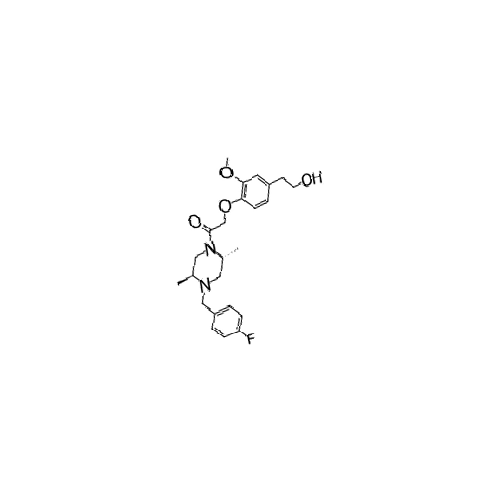 COc1cc(CCO)ccc1OCC(=O)N1C[C@H](C)N(Cc2ccc(F)cc2)C[C@H]1C